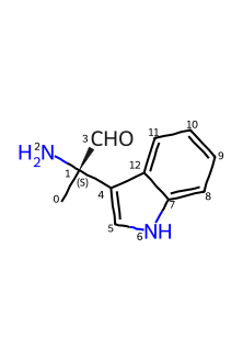 C[C@@](N)(C=O)c1c[nH]c2ccccc12